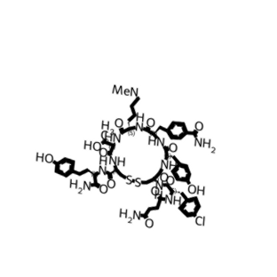 CNCCCC[C@@H]1NC(=O)[C@@H](Cc2ccc(C(N)=O)cc2)NC(=O)[C@H](Cc2ccc(O)cc2)NC(=O)[C@H](NC(=O)[C@H](Cc2ccc(Cl)cc2)NC(=O)CCC(N)=O)CSSC[C@@H](C(=O)N[C@H](CCc2ccc(O)cc2)C(N)=O)NC(=O)[C@H]([C@@H](C)O)NC1=O